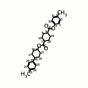 Cc1ccc(OC(=O)C2CCC(C(=O)OC3CCC(c4ccc(C)cc4)CC3)CC2)cc1